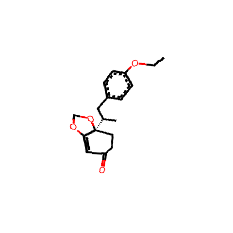 CCOc1ccc(CC(C)[C@]23CCC(=O)C=C2OCO3)cc1